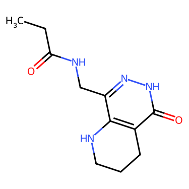 CCC(=O)NCc1n[nH]c(=O)c2c1NCCC2